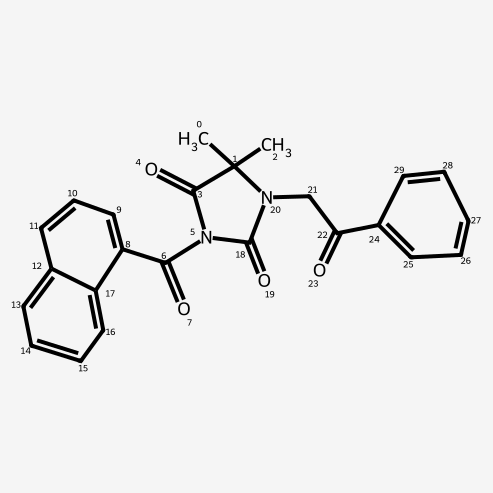 CC1(C)C(=O)N(C(=O)c2cccc3ccccc23)C(=O)N1CC(=O)c1ccccc1